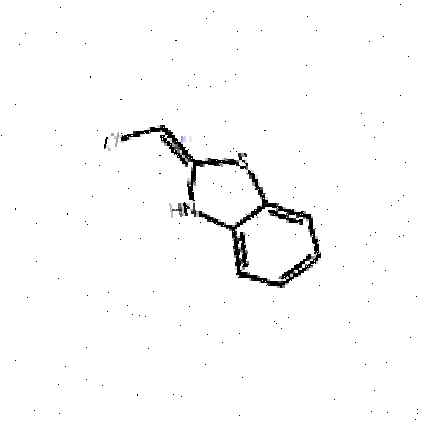 Cl/C=C1\Nc2ccccc2S1